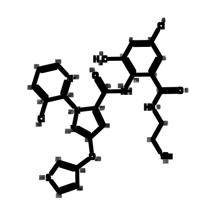 Cc1cc(Cl)cc(C(=O)NCCC(C)(C)C)c1NC(=O)c1cc(Oc2ccsc2)nn1-c1ncccc1Cl